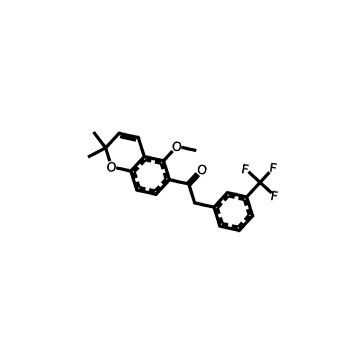 COc1c(C(=O)Cc2cccc(C(F)(F)F)c2)ccc2c1C=CC(C)(C)O2